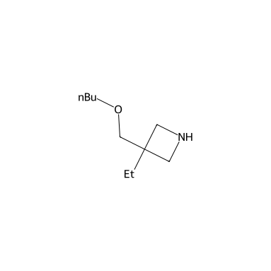 CCCCOCC1(CC)CNC1